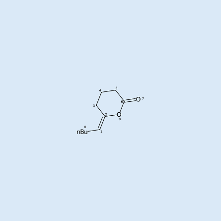 CCCCC=C1CCCC(=O)O1